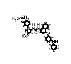 CP(C)Cc1cccc(-n2nc(C(C)(C)C)cc2NC(=O)Nc2ccc(Oc3ccnc(Nc4ccccc4)c3)c3ccccc23)c1